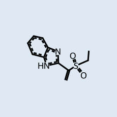 C=C(c1nc2ccccc2[nH]1)S(=O)(=O)CC